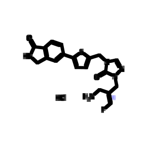 Cl.NC/C(=C\F)Cn1ncn(Cc2ccc(-c3ccc4c(c3)CNC4=O)s2)c1=O